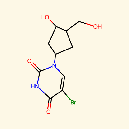 O=c1[nH]c(=O)n(C2CC(O)C(CO)C2)cc1Br